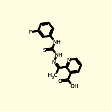 CC(=NNC(=S)Nc1cccc(F)c1)c1ncccc1C(=O)O